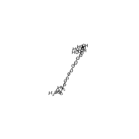 BC1CC(=O)N(CCC(=O)NCCOCCOCCOCCOCCOCCOCCOCCOCCOC2OC3(O)C(COP(=O)(O)O)C(O)C(O)C23)C1=O